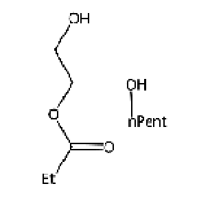 CCC(=O)OCCO.CCCCCO